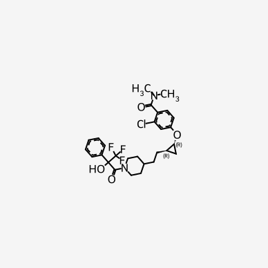 CN(C)C(=O)c1ccc(O[C@@H]2C[C@H]2CCC2CCN(C(=O)C(O)(c3ccccc3)C(F)(F)F)CC2)cc1Cl